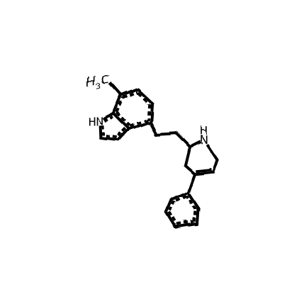 Cc1ccc(CCC2CC(c3ccccc3)=CCN2)c2cc[nH]c12